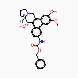 COc1cc2c3c(c4ccc(NC(=O)OCc5ccccc5)cc4c2cc1OC)[C@H](O)[C@@H]1CCCN1C3